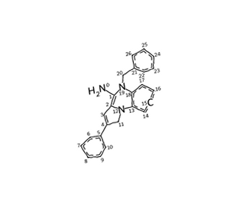 NC1=C2C=C(c3ccccc3)CN2c2ccccc2N1Cc1ccccc1